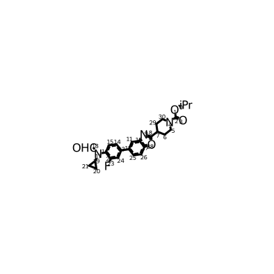 CC(C)OC(=O)N1CCC(c2nc3cc(-c4ccc(N(C=O)C5CC5)c(F)c4)ccc3o2)CC1